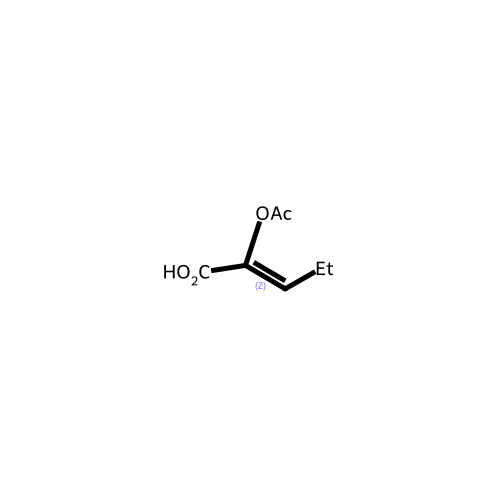 CC/C=C(\OC(C)=O)C(=O)O